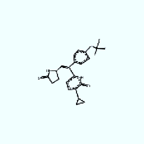 O=C1CC[C@H](C=C(c2ccc(SC(F)(F)F)cc2)c2ccc(C3CC3)c(=O)[nH]2)N1